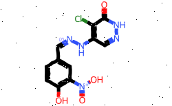 O=c1[nH]ncc(N/N=C\c2ccc(O)c([N+](=O)O)c2)c1Cl